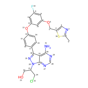 Cc1ncc(COc2cc(F)cc(Oc3ccc(-c4nn(C(CO)CCl)c5ncnc(N)c45)cc3)c2)s1